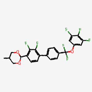 CC1COC(c2ccc(-c3ccc(C(F)(F)Oc4cc(F)c(F)c(F)c4)cc3)c(F)c2F)OC1